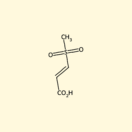 CS(=O)(=O)/C=C/C(=O)O